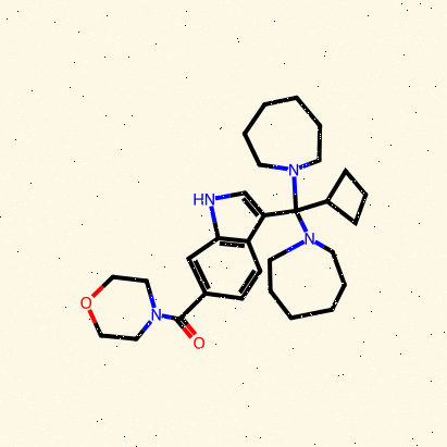 O=C(c1ccc2c(C(C3CCC3)(N3CCCCCC3)N3CCCCCC3)c[nH]c2c1)N1CCOCC1